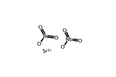 [O]=[Bi](=[O])[O-].[O]=[Nb](=[O])[O-].[Sr+2]